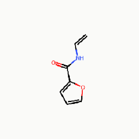 C=CNC(=O)c1ccco1